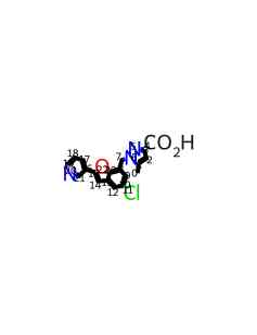 Cc1cc(C(=O)O)nn1Cc1cc(Cl)cc2cc(-c3cccnc3)oc12